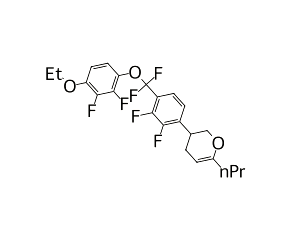 CCCC1=CCC(c2ccc(C(F)(F)Oc3ccc(OCC)c(F)c3F)c(F)c2F)CO1